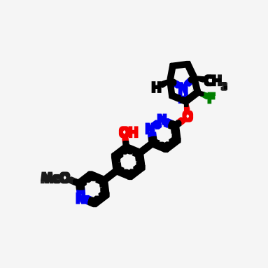 COc1cc(-c2ccc(-c3ccc(O[C@H]4C[C@@H]5CC[C@@](C)(N5)[C@H]4F)nn3)c(O)c2)ccn1